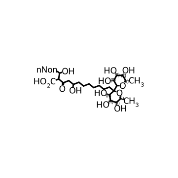 CCCCCCCCCC(O)C(C(=O)O)C(=O)CC(O)CCCCCCCC1(C2O[C@@H](C)[C@H](O)[C@@H](O)[C@H]2O)O[C@@H](C)[C@H](O)[C@@H](O)[C@H]1O